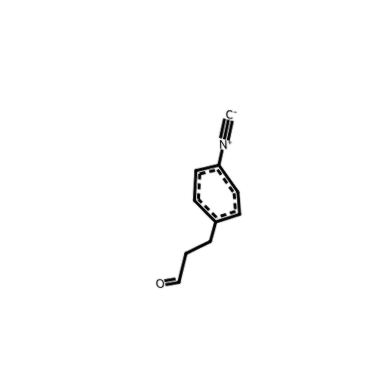 [C-]#[N+]c1ccc(CCC=O)cc1